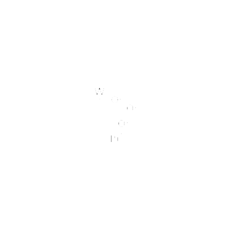 [O-2].[O-2].[O-2].[Pt].[W+6]